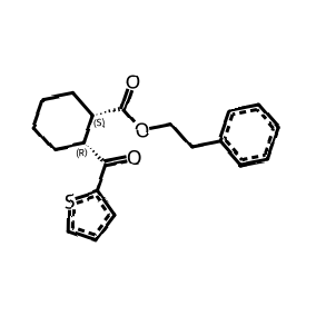 O=C(OCCc1ccccc1)[C@H]1CCCC[C@H]1C(=O)c1cccs1